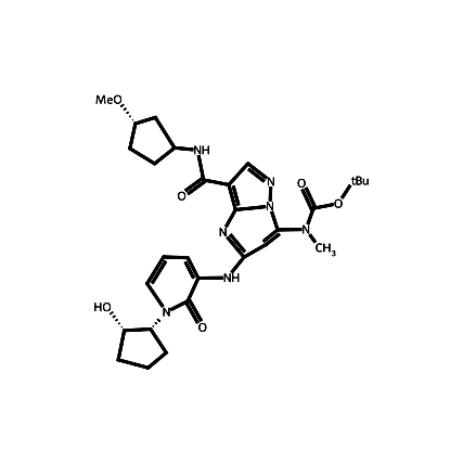 CO[C@H]1CCC(NC(=O)c2cnn3c(N(C)C(=O)OC(C)(C)C)cc(Nc4cccn([C@@H]5CCC[C@@H]5O)c4=O)nc23)C1